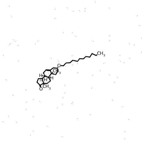 CCCCCCCCCCCCOC1CC[C@@]2(C)C(=CC[C@@H]3[C@H]2CC[C@]2(C)C(=O)CC[C@@H]32)C1